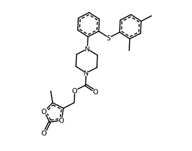 Cc1ccc(Sc2ccccc2N2CCN(C(=O)OCc3oc(=O)oc3C)CC2)c(C)c1